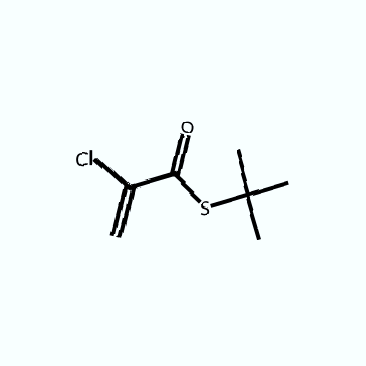 C=C(Cl)C(=O)SC(C)(C)C